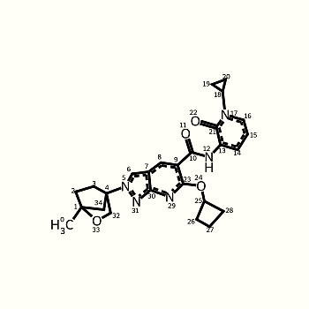 CC12CCC(n3cc4cc(C(=O)Nc5cccn(C6CC6)c5=O)c(OC5CCC5)nc4n3)(CO1)C2